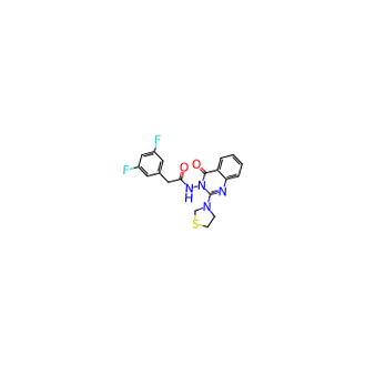 O=C(Cc1cc(F)cc(F)c1)Nn1c(N2CCSC2)nc2ccccc2c1=O